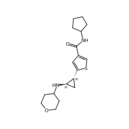 O=C(NC1CCCC1)c1csc([C@@H]2C[C@H]2NC2CCOCC2)c1